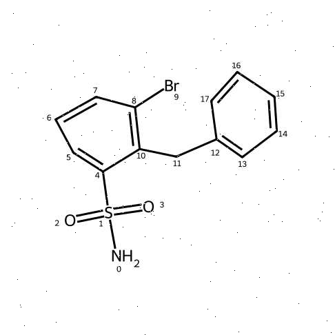 NS(=O)(=O)c1cccc(Br)c1Cc1ccccc1